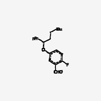 CCCC(CCC(C)CC)Oc1ccc(F)c(C=O)c1